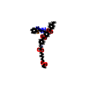 C=CC(=O)OCCCCCCOC(=O)/C=C/c1ccc(C(=O)Oc2ccc(OC(=O)c3ccc(C=C)cc3)c(/C=N/Nc3nc4ccccc4s3)c2)cc1